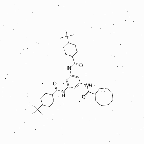 CC(C)(C)C1CCC(C(=O)Nc2cc(NC(=O)C3CCCCCCC3)cc(NC(=O)C3CCC(C(C)(C)C)CC3)c2)CC1